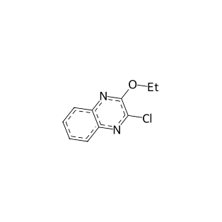 CCOc1nc2ccccc2nc1Cl